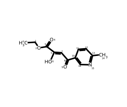 CCOC(=O)C(O)=CC(=O)c1ccc(C)nc1